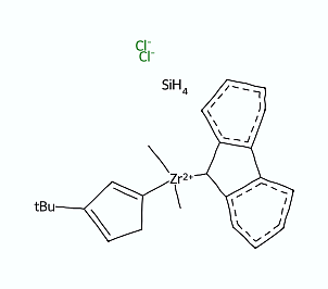 CC(C)(C)C1=CC[C]([Zr+2]([CH3])([CH3])[CH]2c3ccccc3-c3ccccc32)=C1.[Cl-].[Cl-].[SiH4]